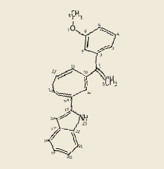 C=C(c1cccc(OC)c1)c1cccc(-c2cc3ccccc3[nH]2)c1